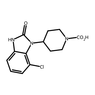 O=C(O)N1CCC(n2c(=O)[nH]c3cccc(Cl)c32)CC1